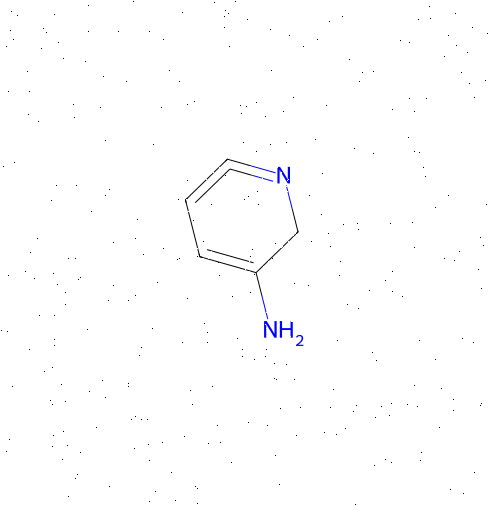 NC1=CC=C=NC1